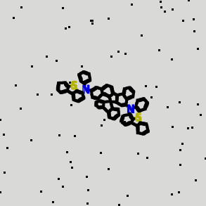 c1ccc(N(c2ccc3c4c(ccc3c2)-c2c(cc(N(c3ccccc3)c3cccc5c3sc3ccccc35)c3ccccc23)C42c3ccccc3-c3ccccc32)c2cccc3c2sc2ccccc23)cc1